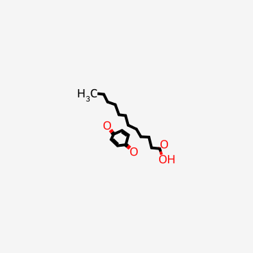 CCCCCCCCCCCC(=O)O.O=C1C=CC(=O)C=C1